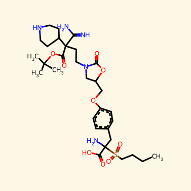 CCCCS(=O)(=O)C(N)(Cc1ccc(OCC2CN(CCC(C(=N)N)(C(=O)OC(C)(C)C)C3CCNCC3)C(=O)O2)cc1)C(=O)O